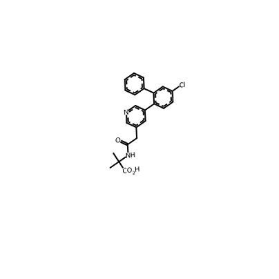 CC(C)(NC(=O)Cc1cncc(-c2ccc(Cl)cc2-c2ccccc2)c1)C(=O)O